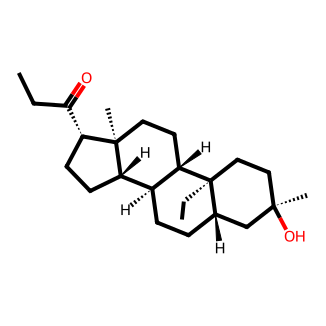 CCC(=O)[C@H]1CC[C@H]2[C@@H]3CC[C@H]4C[C@](C)(O)CC[C@]4(CC)[C@H]3CC[C@]12C